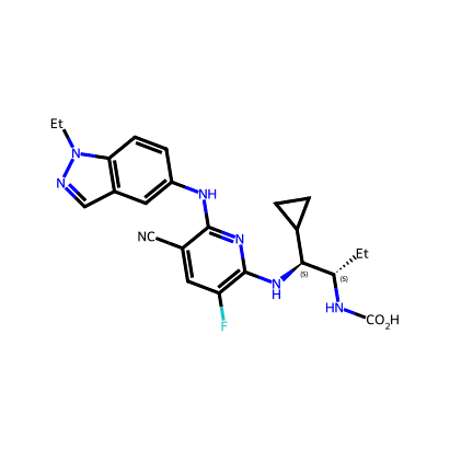 CC[C@H](NC(=O)O)[C@@H](Nc1nc(Nc2ccc3c(cnn3CC)c2)c(C#N)cc1F)C1CC1